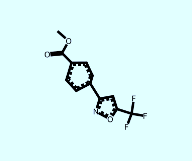 COC(=O)c1ccc(-c2cc(C(F)(F)F)on2)cc1